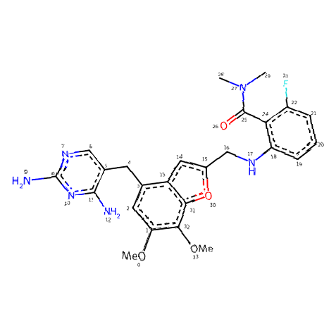 COc1cc(Cc2cnc(N)nc2N)c2cc(CNc3cccc(F)c3C(=O)N(C)C)oc2c1OC